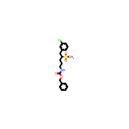 CS(=O)(=O)C(CCCNC(=O)OCc1ccccc1)Cc1cccc(Cl)c1